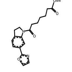 COC(=O)CCCCCC(=O)N1CCc2ccc(-c3ncco3)cc21